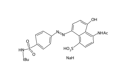 CC(=O)Nc1ccc(S(=O)(=O)O)c2c(N=Nc3ccc(S(=O)(=O)NC(C)(C)C)cc3)ccc(O)c12.[NaH]